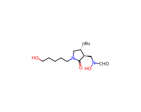 CCCC[C@H]1CN(CCCCCO)C(=O)[C@@H]1CN(O)C=O